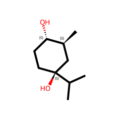 CC(C)[C@]1(O)CC[C@H](O)[C@@H](C)C1